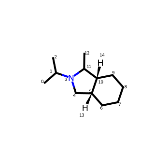 CC(C)N1C[C@H]2CCCC[C@H]2C1C